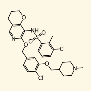 Cc1c(Cl)cccc1S(=O)(=O)Nc1c(OCc2ccc(Cl)c(OCC3CCN(C)CC3)c2)ncc2c1OCCC2